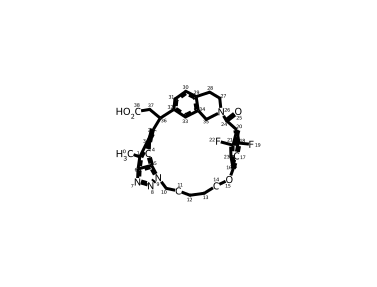 Cc1c2ccc3c1nnn3CCCCCOc1cc(F)c(c(F)c1)C(=O)N1CCc3ccc(cc3C1)C2CC(=O)O